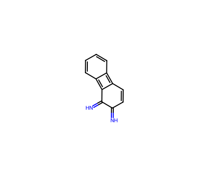 N=c1ccc2c3ccccc3c-2c1=N